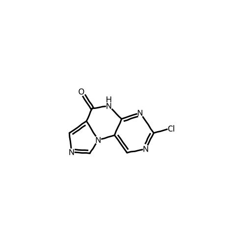 O=c1[nH]c2nc(Cl)ncc2n2cncc12